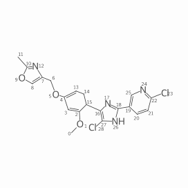 COC1=CC(OCc2coc(C)n2)=CCC1c1nc(-c2ccc(Cl)nc2)[nH]c1Cl